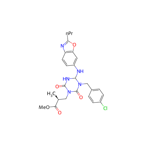 CCCc1nc2ccc(NC3NC(=O)N(C[C@H](C)C(=O)OC)C(=O)N3Cc3ccc(Cl)cc3)cc2o1